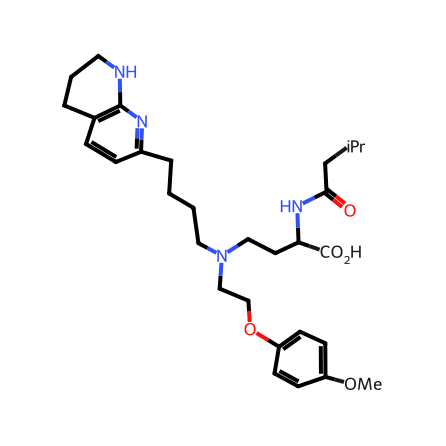 COc1ccc(OCCN(CCCCc2ccc3c(n2)NCCC3)CCC(NC(=O)CC(C)C)C(=O)O)cc1